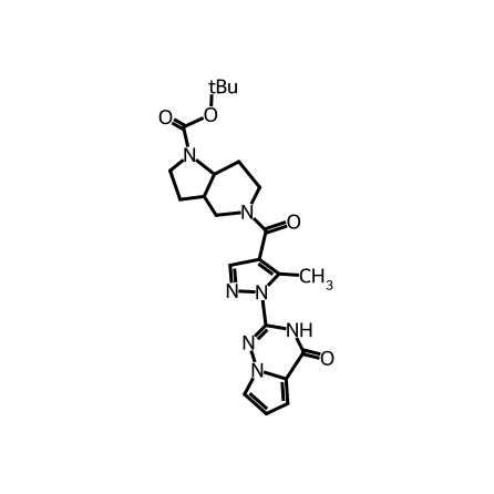 Cc1c(C(=O)N2CCC3C(CCN3C(=O)OC(C)(C)C)C2)cnn1-c1nn2cccc2c(=O)[nH]1